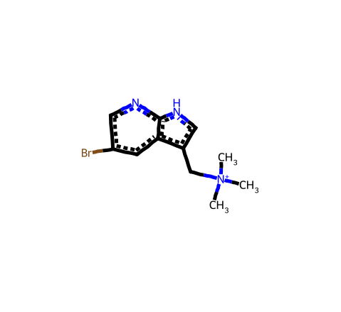 C[N+](C)(C)Cc1c[nH]c2ncc(Br)cc12